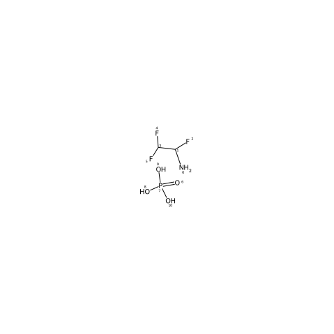 NC(F)C(F)F.O=P(O)(O)O